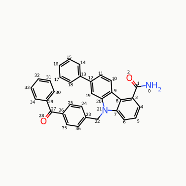 NC(=O)c1cccc2c1c1[c]cc(-c3ccccc3)cc1n2Cc1ccc(C(=O)c2ccccc2)cc1